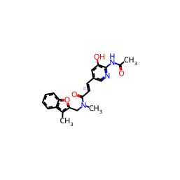 CC(=O)Nc1ncc(/C=C/C(=O)N(C)Cc2oc3ccccc3c2C)cc1O